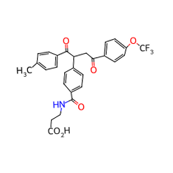 Cc1ccc(C(=O)C(CC(=O)c2ccc(OC(F)(F)F)cc2)c2ccc(C(=O)NCCC(=O)O)cc2)cc1